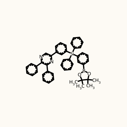 CC1(C)OB(c2cccc([Si](c3ccccc3)(c3ccccc3)c3cccc(-c4cnc(-c5ccccc5)c(-c5ccccc5)n4)c3)c2)OC1(C)C